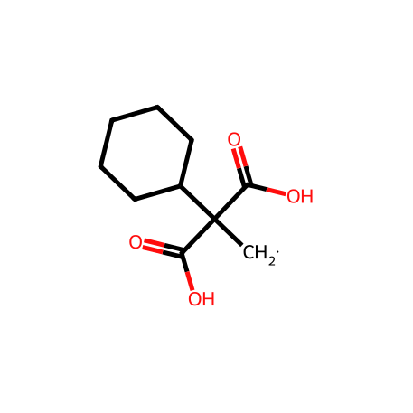 [CH2]C(C(=O)O)(C(=O)O)C1CCCCC1